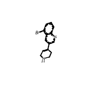 Brc1cccc2ncc(C3=CCNCC3)cc12